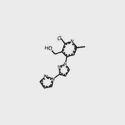 Cc1cc(-n2ccc(-n3cccn3)n2)c(CO)c(Cl)n1